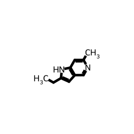 CCc1cc2cnc(C)cc2[nH]1